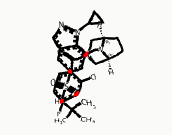 CC(C)(C)NS(=O)(=O)c1cc(N2[C@@H]3CC[C@H]2CN(C(=O)c2ccc(F)cc2Cl)C3)c2c(cnn2C2CC2)c1